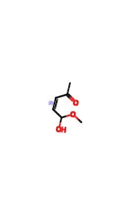 COC(O)/C=C\C(C)=O